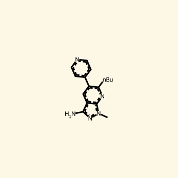 CCCCc1nc2c(cc1-c1ccncc1)c(N)nn2C